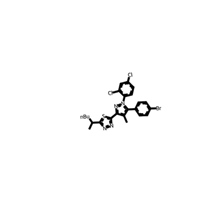 CCCCC(C)c1nnc(-c2nn(-c3ccc(Cl)cc3Cl)c(-c3ccc(Br)cc3)c2C)s1